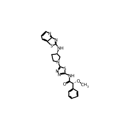 CO[C@@H](C(=O)Nc1nnc(N2CC[C@@H](Nc3nc4ncccc4s3)C2)s1)c1ccccc1